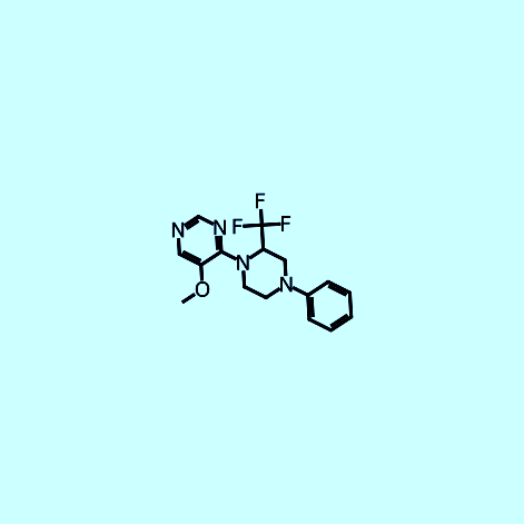 COc1cncnc1N1CCN(c2ccccc2)CC1C(F)(F)F